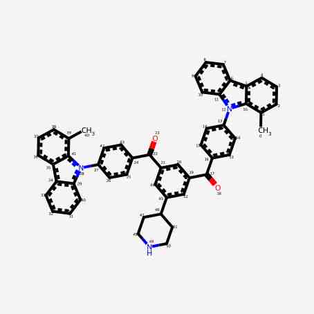 Cc1cccc2c3ccccc3n(-c3ccc(C(=O)c4cc(C(=O)c5ccc(-n6c7ccccc7c7cccc(C)c76)cc5)cc(C5CCNCC5)c4)cc3)c12